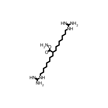 N=C(N)NCCCCCCCCC(CCCCCCCCNC(=N)N)C(=O)ON